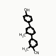 Cc1cc(-c2ccc(-c3ccc(O)cc3)cc2C)ccc1C#N